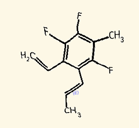 C=Cc1c(F)c(F)c(C)c(F)c1/C=C/C